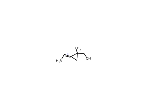 B/C=C1\CC1(C)CO